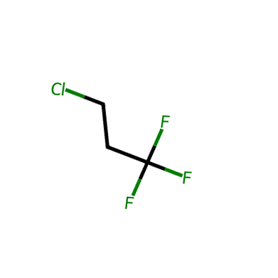 FC(F)(F)CCCl